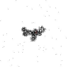 CC1(C)CC(C)(C)c2cc3c(cc21)sc1cc(-c2cc4ccccc4cc2N(c2ccccc2)c2ccc(-c4cc5ccccc5c5ccccc45)cc2)ccc13